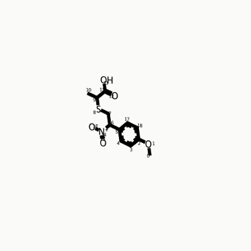 COc1ccc(C(CSC(C)C(=O)O)[N+](=O)[O-])cc1